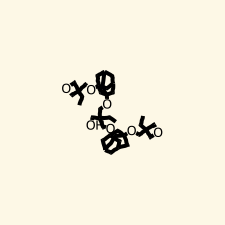 CCC1(COC23CC4CC(C2)CC(OCC(CC)(CO)COC25CC6CC(CC(OCC7(CC)COC7)(C6)C2)C5)(C4)C3)COC1